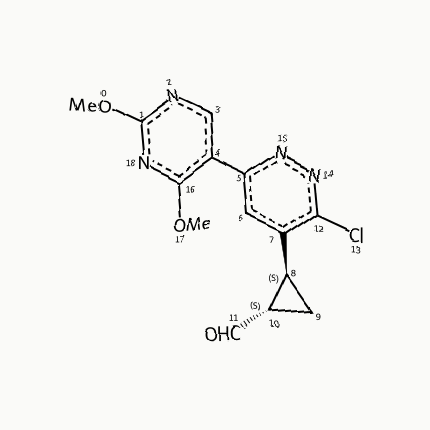 COc1ncc(-c2cc([C@H]3C[C@@H]3C=O)c(Cl)nn2)c(OC)n1